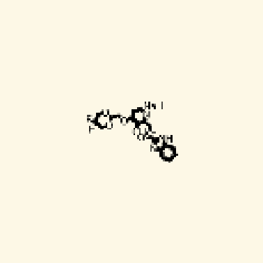 Cc1c(OCC2OCC(F)(F)CO2)ccnc1C[S+]([O-])c1nc2ccccc2[nH]1.[NaH]